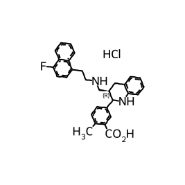 Cc1ccc(C2Nc3ccccc3C[C@@H]2CNCCc2ccc(F)c3ccccc23)cc1C(=O)O.Cl